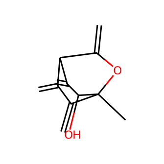 C=C1OC2(C)C(=C)C(=C)C1C(=C)C2O